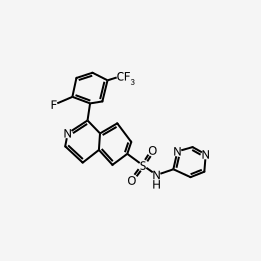 O=S(=O)(Nc1ccncn1)c1ccc2c(-c3cc(C(F)(F)F)ccc3F)nccc2c1